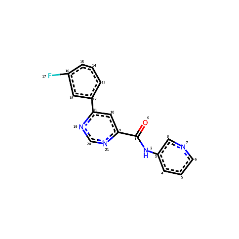 O=C(Nc1cccnc1)c1cc(-c2cccc(F)c2)ncn1